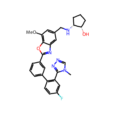 COc1cc(CN[C@@H]2CCC[C@@H]2O)cc2nc(-c3cccc(-c4ccc(F)cc4-c4nncn4C)c3)oc12